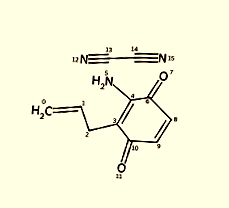 C=CCC1=C(N)C(=O)C=CC1=O.N#CC#N